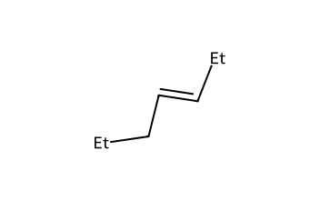 [CH2]CC=CCCC